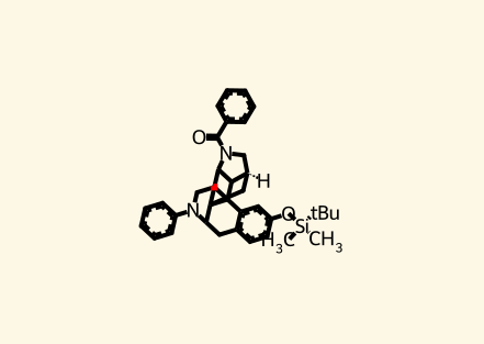 CC(C)(C)[Si](C)(C)Oc1ccc2c(c1)C13CCN(c4ccccc4)C(C2)C12CCC1C3[C@@H](CN1C(=O)c1ccccc1)C2